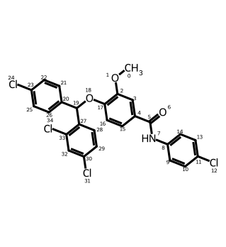 COc1cc(C(=O)Nc2ccc(Cl)cc2)ccc1OC(c1ccc(Cl)cc1)c1ccc(Cl)cc1Cl